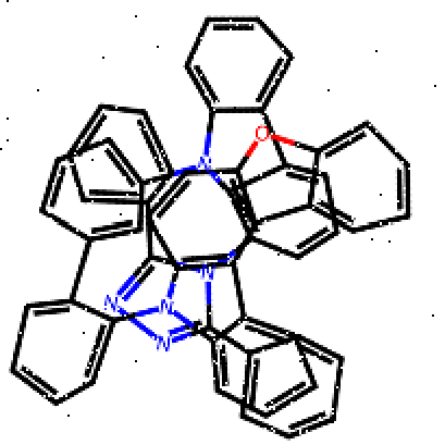 c1ccc(-c2nnc(-c3ccccc3)n2-c2cccc3c4ccccc4n(-c4cccc(-c5ccccc5-n5c6ccccc6c6c7c(ccc65)oc5ccccc57)c4)c23)cc1